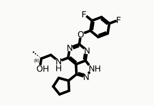 C[C@@H](O)CNc1nc(Oc2ccc(F)cc2F)nc2[nH]nc(C3CCCC3)c12